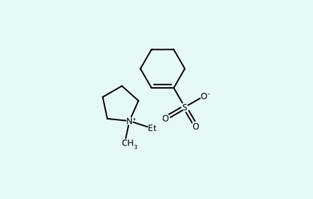 CC[N+]1(C)CCCC1.O=S(=O)([O-])C1=CCCCC1